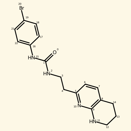 O=C(NCCc1ccc2c(n1)NCCC2)Nc1ccc(Br)cc1